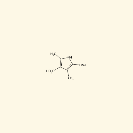 COc1[nH]c(C)c(C(=O)O)c1C